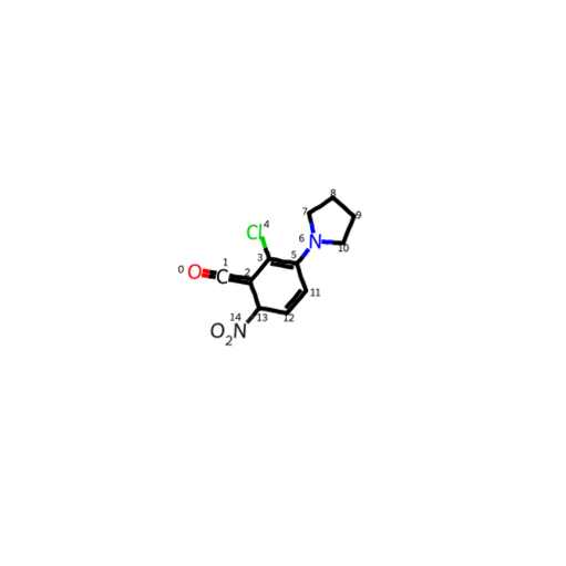 O=C=C1C(Cl)=C(N2CCCC2)C=CC1[N+](=O)[O-]